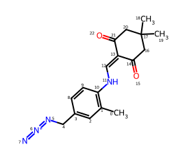 Cc1cc(CN=[N+]=[N-])ccc1NC=C1C(=O)CC(C)(C)CC1=O